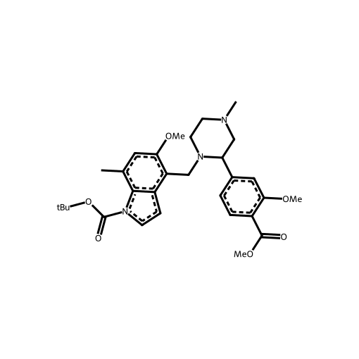 COC(=O)c1ccc(C2CN(C)CCN2Cc2c(OC)cc(C)c3c2ccn3C(=O)OC(C)(C)C)cc1OC